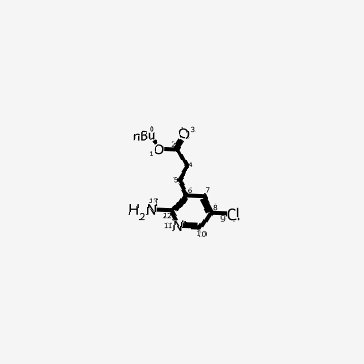 CCCCOC(=O)CCc1cc(Cl)cnc1N